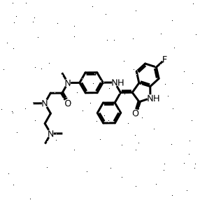 CN(C)CCN(C)CC(=O)N(C)c1ccc(NC(=C2C(=O)Nc3cc(F)ccc32)c2ccccc2)cc1